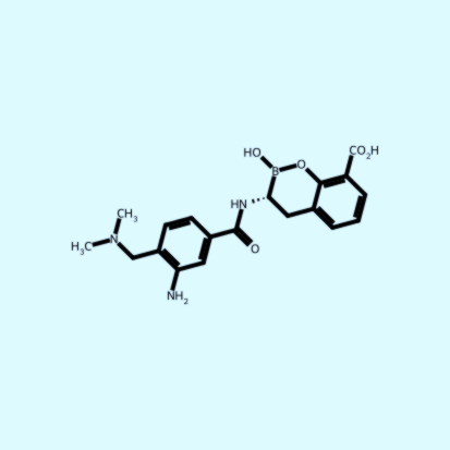 CN(C)Cc1ccc(C(=O)N[C@H]2Cc3cccc(C(=O)O)c3OB2O)cc1N